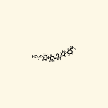 O=C(Cn1cnc(-c2ccnc(C(F)(F)F)c2)c1)Nc1ccc(N2CCN(C(=O)O)CC2)cn1